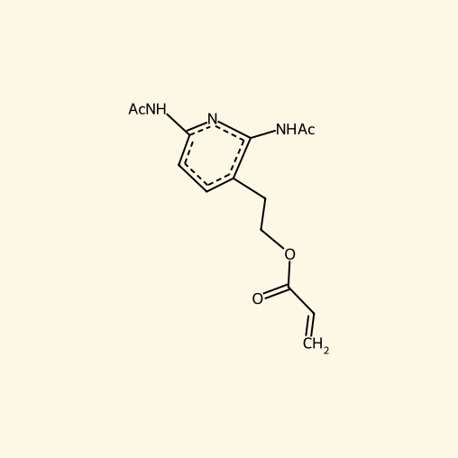 C=CC(=O)OCCc1ccc(NC(C)=O)nc1NC(C)=O